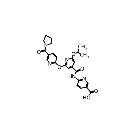 CC(C)Oc1cc(C(=O)Nc2ccc(C(=O)O)cn2)cc(Oc2ccc(C(=O)N3CCCC3)cn2)n1